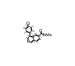 CNC(=O)c1ccc2cncc(-c3ccc(Cl)cc3)c2c1